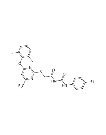 CCc1ccc(NC(=O)NC(=O)CSc2nc(Oc3c(C)cccc3C)cc(C(F)(F)F)n2)cc1